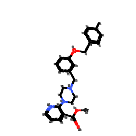 Cc1ccc(COc2cccc(CN3CCN(c4ncccc4C(=O)OC(C)C)CC3)c2)cc1